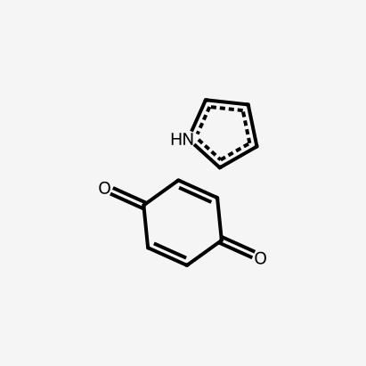 O=C1C=CC(=O)C=C1.c1cc[nH]c1